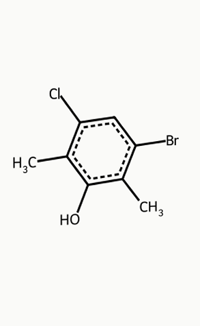 Cc1c(Cl)cc(Br)c(C)c1O